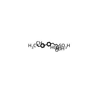 CC(C)=Cc1ccc(-c2ccc(CCCC(P(=O)(O)O)S(=O)(=O)O)cc2)cc1